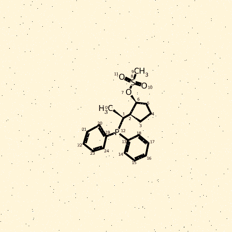 C[C@@H]([C@@H]1CCC[C@@H]1OS(C)(=O)=O)P(c1ccccc1)c1ccccc1